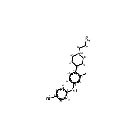 Cc1cc(Nc2ncc(C#N)cn2)ccc1C1CCN(CCO)CC1